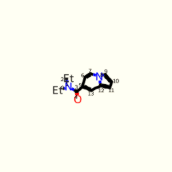 CCN(CC)C(=O)c1ccn2cccc2c1